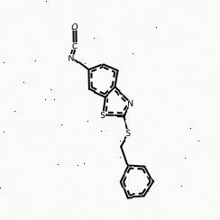 O=C=Nc1ccc2nc(SCc3ccccc3)sc2c1